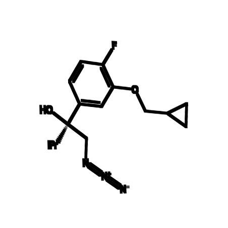 CC(C)[C@@](O)(CN=[N+]=[N-])c1ccc(F)c(OCC2CC2)c1